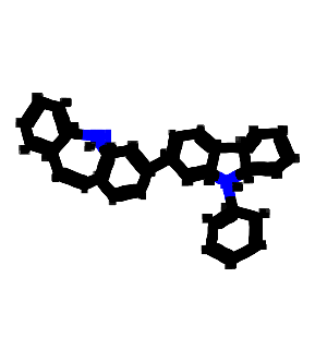 C1=Cc2ccc(-c3ccc4c5ccccc5n(-c5ccccc5)c4c3)cc2Nc2ccccc21